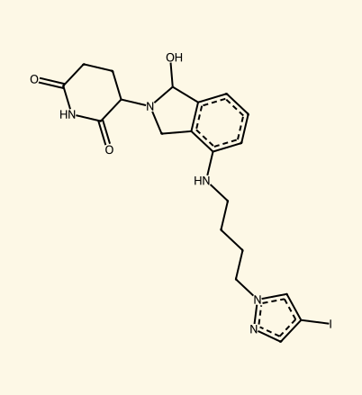 O=C1CCC(N2Cc3c(NCCCCn4cc(I)cn4)cccc3C2O)C(=O)N1